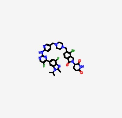 Cc1nc2c(F)cc(-c3nc(Nc4ccc(CN5CCN(Cc6ccc7c(c6Br)CN(C6CCC(=O)NC6=O)C7=O)CC5)cn4)ncc3F)cc2n1C(C)C